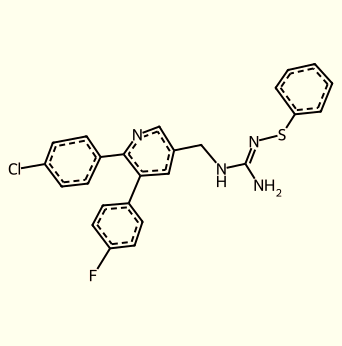 N/C(=N\Sc1ccccc1)NCc1cnc(-c2ccc(Cl)cc2)c(-c2ccc(F)cc2)c1